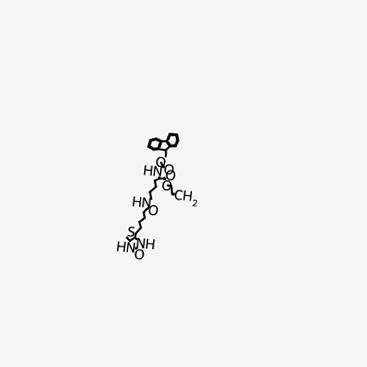 C=CCOC(=O)C(CCCCNC(=O)CCCCC1SCC2NC(=O)NC21)NC(=O)OCC1c2ccccc2-c2ccccc21